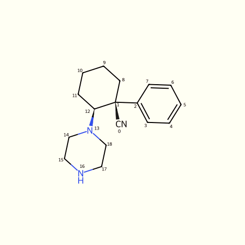 N#C[C@]1(c2ccccc2)CCCC[C@@H]1N1CCNCC1